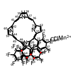 Fc1c(F)c(F)c(-c2c(-c3c(F)c(F)c(F)c(F)c3F)c3c(-c4c(F)c(F)c(F)c(F)c4F)c4nc(cc5ccc(cc6nc(cc2n3-c2c(F)c(F)c(F)c(F)c2F)C=C6)[nH]5)C=C4)c(F)c1F.[Cl-].[Cl-].[Mn+2]